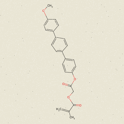 C=C(C)C(=O)OCC(=O)Oc1ccc(-c2ccc(-c3ccc(OC)cc3)cc2)cc1